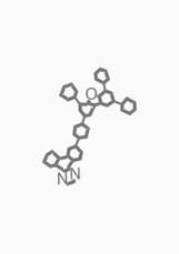 c1ccc(-c2cc(-c3ccccc3)c3oc4c(-c5ccccc5)cc(-c5ccc(-c6ccc7c(c6)c6ccccc6c6nccnc76)cc5)cc4c3c2)cc1